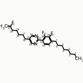 CCCCCCCCc1ccc(-c2ncc(CCCCCC(C)F)cn2)c(F)c1F